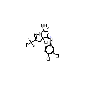 CC12CC(C(F)(F)F)=NN1C(N)=N/C2=N/c1ccc(Cl)c(Cl)c1